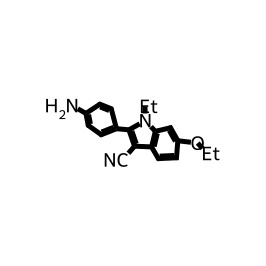 CCOc1ccc2c(C#N)c(-c3ccc(N)cc3)n(CC)c2c1